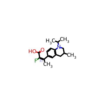 C/C(=C(\F)C(=O)O)c1ccc2c(c1)CC(C)CN2C(C)C